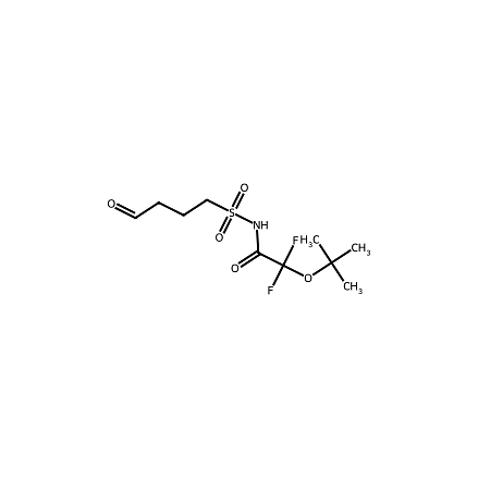 CC(C)(C)OC(F)(F)C(=O)NS(=O)(=O)CCCC=O